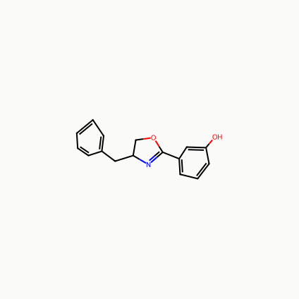 Oc1cccc(C2=NC(Cc3ccccc3)CO2)c1